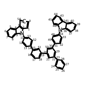 C1=Cc2c(c3ccccc3n2-c2ccc(-c3cccc(-c4cc(-c5ccccc5)cc(-c5ccc(-n6c7ccccc7c7ccccc76)cc5)c4)c3)cc2)CC1